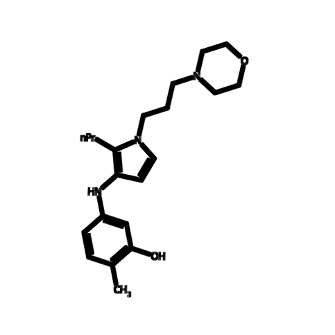 CCCc1c(Nc2ccc(C)c(O)c2)ccn1CCCN1CCOCC1